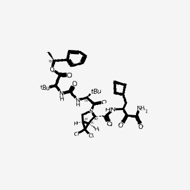 C[C@H](OC(=O)C(NC(=O)N[C@H](C(=O)N1C[C@H]2[C@@H]([C@H]1C(=O)NC(CC1CCC1)C(=O)C(N)=O)C2(Cl)Cl)C(C)(C)C)C(C)(C)C)c1ccccc1